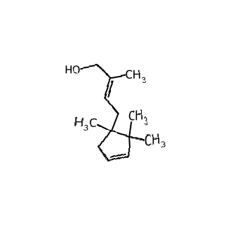 C/C(=C\CC1(C)CC=CC1(C)C)CO